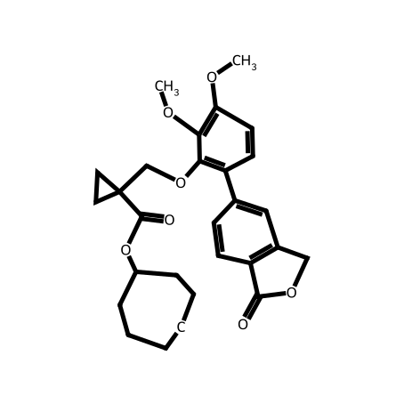 COc1ccc(-c2ccc3c(c2)COC3=O)c(OCC2(C(=O)OC3CCCCCC3)CC2)c1OC